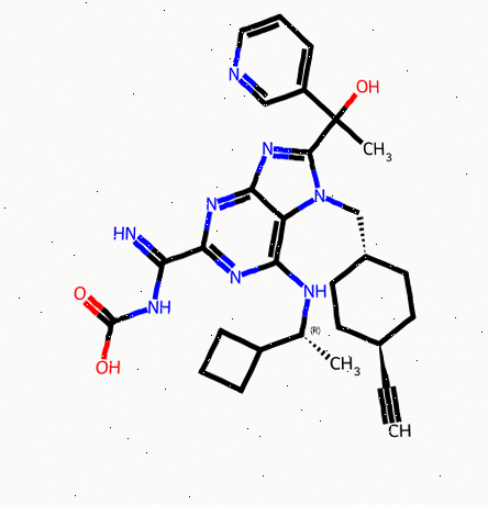 C#C[C@H]1CC[C@H](Cn2c(C(C)(O)c3cccnc3)nc3nc(C(=N)NC(=O)O)nc(N[C@H](C)C4CCC4)c32)CC1